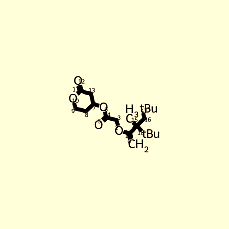 C=C(OCC(=O)OC1CCOC(=O)C1)C(C)(CC(C)(C)C)C(C)(C)C